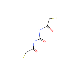 O=C(CS)NC(=O)NC(=O)CS